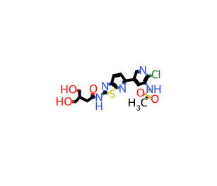 CS(=O)(=O)Nc1cc(-c2ccc3nc(NC(=O)CC(CO)CO)sc3n2)cnc1Cl